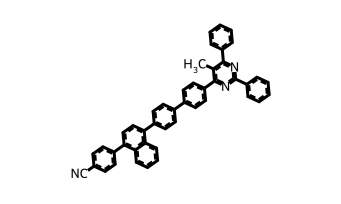 Cc1c(-c2ccccc2)nc(-c2ccccc2)nc1-c1ccc(-c2ccc(-c3ccc(-c4ccc(C#N)cc4)c4ccccc34)cc2)cc1